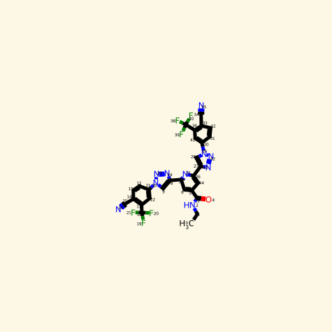 CCNC(=O)c1cc(-c2cn(-c3ccc(C#N)c(C(F)(F)F)c3)nn2)nc(-c2cn(-c3ccc(C#N)c(C(F)(F)F)c3)nn2)c1